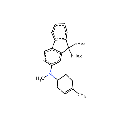 CCCCCCC1(CCCCCC)c2ccccc2-c2ccc(N(C)C3CC=C(C)CC3)cc21